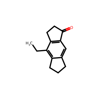 CCc1c2c(cc3c1CCC3=O)CCC2